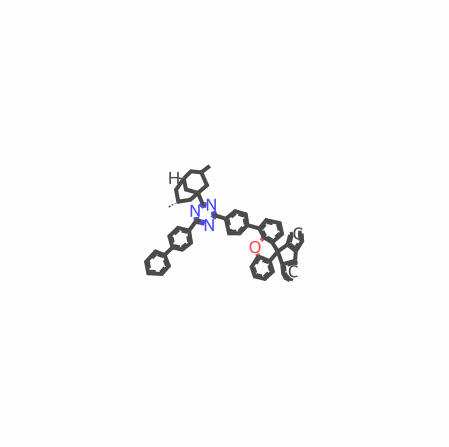 CC1C[C@@H]2C[C@@H](C)CC(c3nc(-c4ccc(-c5ccccc5)cc4)nc(-c4ccc(-c5cccc6c5Oc5ccccc5C65c6ccccc6-c6ccccc65)cc4)n3)(C1)C2